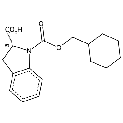 O=C(O)[C@H]1Cc2ccccc2N1C(=O)OCC1CCCCC1